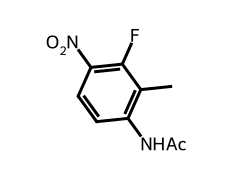 CC(=O)Nc1ccc([N+](=O)[O-])c(F)c1C